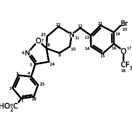 O=C(O)c1ccc(C2=NOC3(CCN(Cc4ccc(OC(F)(F)F)c(Br)c4)CC3)C2)cc1